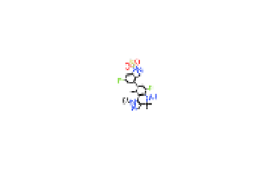 CCn1ncc2c1-c1c(C)c(-c3cc(F)cc4c3cnn4S(C)(=O)=O)cc(F)c1NC2(C)C